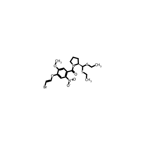 CCSC(SCC)[C@@H]1CCCN1C(=O)c1cc(OC)c(O/C=C/Br)cc1[N+](=O)[O-]